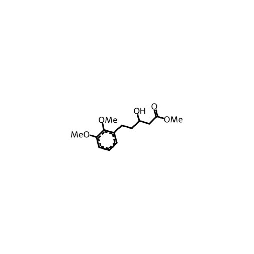 COC(=O)CC(O)CCc1cccc(OC)c1OC